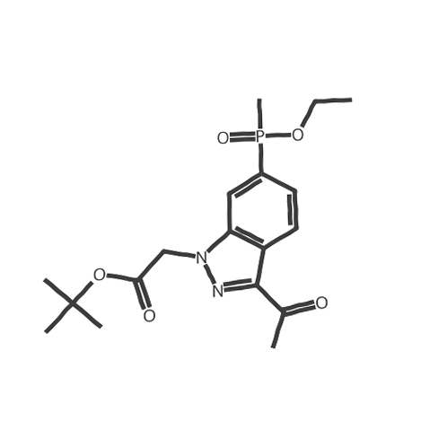 CCOP(C)(=O)c1ccc2c(C(C)=O)nn(CC(=O)OC(C)(C)C)c2c1